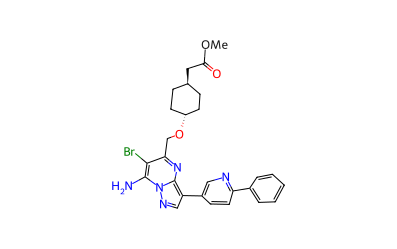 COC(=O)C[C@H]1CC[C@H](OCc2nc3c(-c4ccc(-c5ccccc5)nc4)cnn3c(N)c2Br)CC1